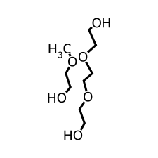 COCCO.OCCOCCOCCO